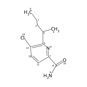 CCCC(C)c1nc(C(N)=O)ccc1Cl